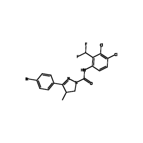 CC1CN(C(=O)Nc2ccc(Cl)c(Cl)c2C(F)F)N=C1c1ccc(Br)cc1